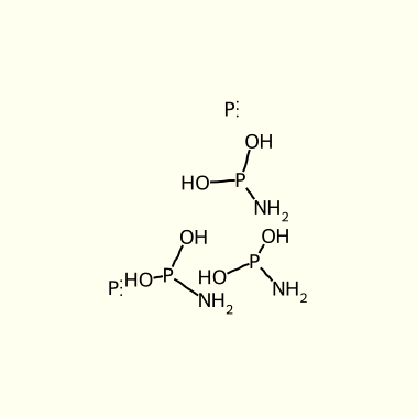 NP(O)O.NP(O)O.NP(O)O.[P].[P]